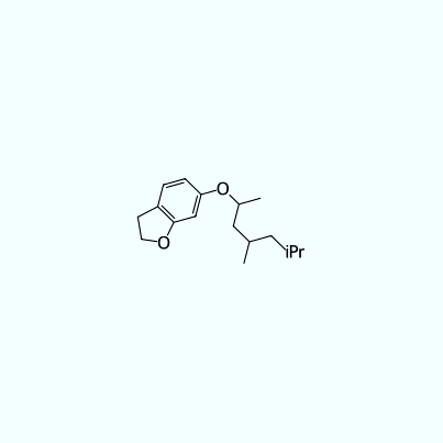 CC(C)CC(C)CC(C)Oc1ccc2c(c1)OCC2